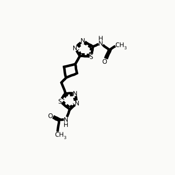 CC(=O)Nc1nnc(CC2CC(c3nnc(NC(C)=O)s3)C2)s1